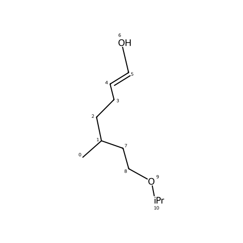 CC(CC/C=C/O)CCOC(C)C